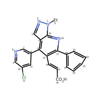 CCn1ncc2c(-c3cncc(Cl)c3)c(C=CC(=O)O)c(-c3ccccc3)nc21